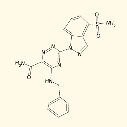 NC(=O)c1nnc(-n2ncc3c(S(N)(=O)=O)cccc32)nc1NCc1ccccc1